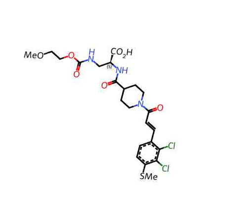 COCCOC(=O)NC[C@H](NC(=O)C1CCN(C(=O)C=Cc2ccc(SC)c(Cl)c2Cl)CC1)C(=O)O